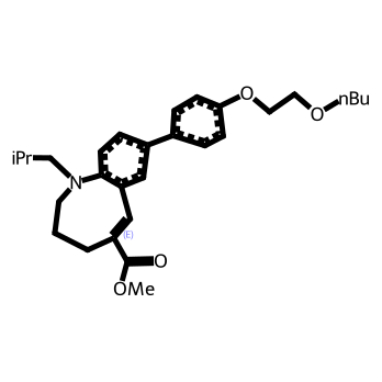 CCCCOCCOc1ccc(-c2ccc3c(c2)/C=C(/C(=O)OC)CCCN3CC(C)C)cc1